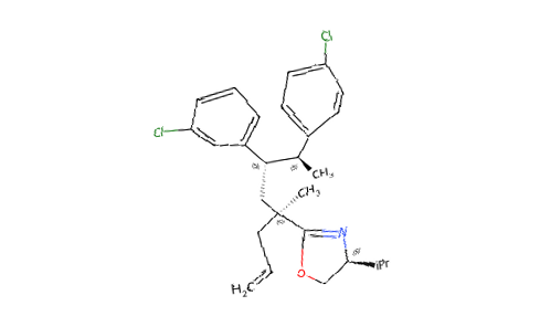 C=CC[C@@](C)(C[C@H](c1cccc(Cl)c1)[C@H](C)c1ccc(Cl)cc1)C1=N[C@@H](C(C)C)CO1